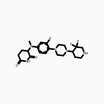 CN(c1ccc(N2CCN(C3CCNCC3(F)F)CC2)c(F)c1)C1CCC(=O)NC1=O